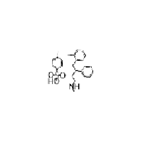 CNCCC(Cc1ccccc1C)c1ccccc1.Cc1ccc(S(=O)(=O)O)cc1